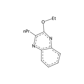 CCCc1nc2ccccc2nc1OCC